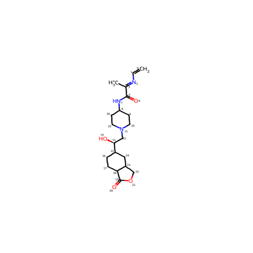 C=C/N=C(\C)C(=O)NC1CCN(C[C@H](O)C2CCC3C(=O)OCC3C2)CC1